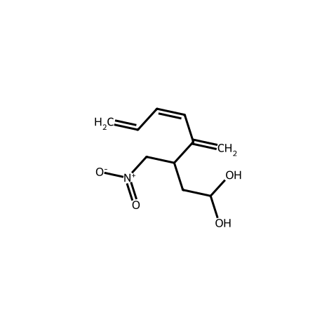 C=C/C=C\C(=C)C(CC(O)O)C[N+](=O)[O-]